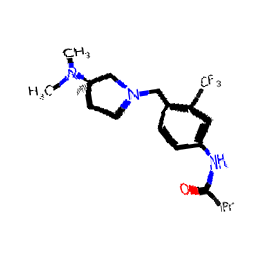 CC(C)C(=O)Nc1ccc(CN2CC[C@@H](N(C)C)C2)c(C(F)(F)F)c1